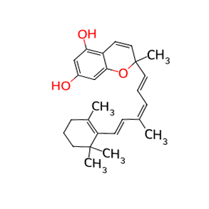 CC(C=CC1=C(C)CCCC1(C)C)=CC=CC1(C)C=Cc2c(O)cc(O)cc2O1